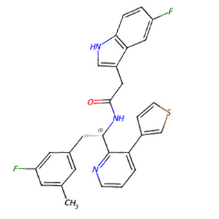 Cc1cc(F)cc(C[C@H](NC(=O)Cc2c[nH]c3ccc(F)cc23)c2ncccc2-c2ccsc2)c1